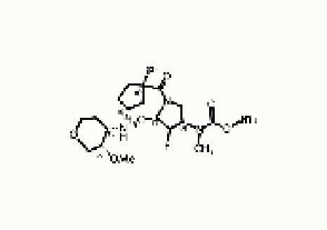 CO[C@@H]1COCC[C@@H]1N[C@@H]1CC[C@@](C(=O)N2C[C@@H](N(C)C(=O)OC(C)(C)C)C(F)[C@H]2C)(C(C)C)C1